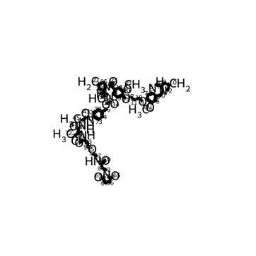 C=C1C[C@H]2C=Nc3cc(OCCCOc4cc5c(cc4OC)C(=O)N4CC(=C)C[C@H]4[C@H](O)N5C(=O)OCc4ccc(NC(=O)[C@H](C)NC(=O)[C@@H](NC(=O)CCOCCNC(=O)CCN5C(=O)C=CC5=O)C(C)C)cc4)c(OC)cc3CN2C1